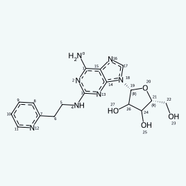 Nc1nc(NCCc2ccccn2)nc2c1ncn2[C@@H]1O[C@H](CO)C(O)C1O